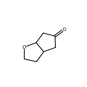 O=C1CC2CCOC2C1